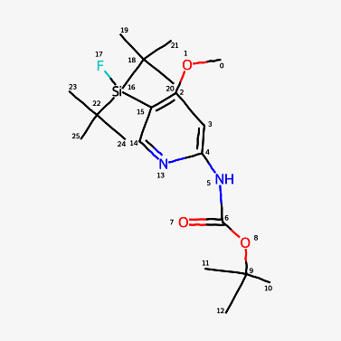 COc1cc(NC(=O)OC(C)(C)C)ncc1[Si](F)(C(C)(C)C)C(C)(C)C